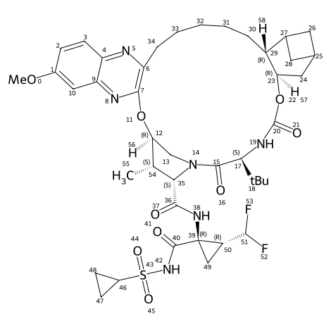 COc1ccc2nc3c(nc2c1)O[C@H]1CN(C(=O)[C@H](C(C)(C)C)NC(=O)O[C@@H]2CC4CC(C4)[C@H]2CCCCC3)[C@H](C(=O)N[C@]2(C(=O)NS(=O)(=O)C3CC3)C[C@H]2C(F)F)[C@@H]1C